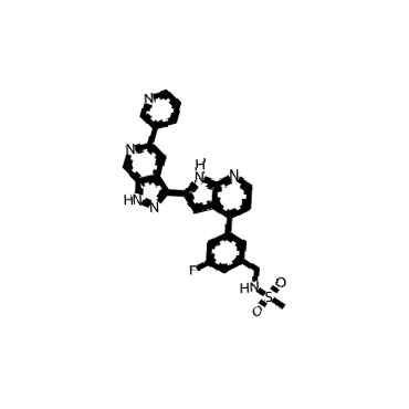 CS(=O)(=O)NCc1cc(F)cc(-c2ccnc3[nH]c(-c4n[nH]c5cnc(-c6cccnc6)cc45)cc23)c1